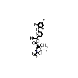 CC1(C)[C@H](C(=O)OC(C#N)c2cccc(Oc3c(F)cc(F)cc3F)n2)[C@@H]1/C=C(\Cl)C(F)(F)F